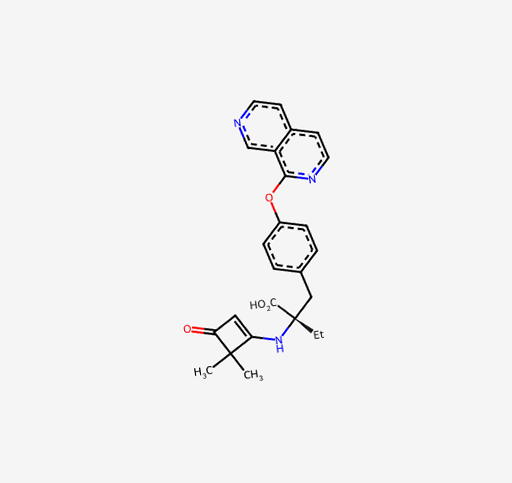 CC[C@@](Cc1ccc(Oc2nccc3ccncc23)cc1)(NC1=CC(=O)C1(C)C)C(=O)O